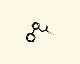 NC(=O)Cc1sccc1-c1ccccn1